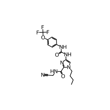 CCCCn1cc(NC(=O)Nc2ccc(OC(F)(F)F)cc2)nc1C(=O)NCC#N